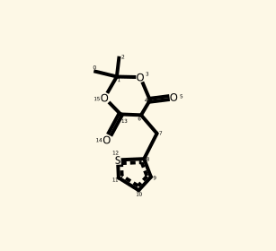 CC1(C)OC(=O)C(Cc2cccs2)C(=O)O1